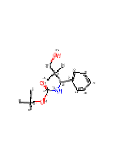 CC(C)(C)OC(=O)NC(c1ccccc1)C(C)(C)CO